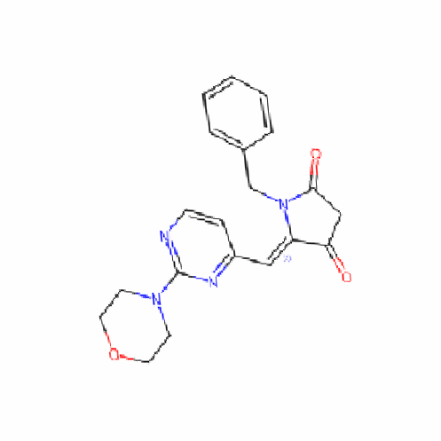 O=C1CC(=O)N(Cc2ccccc2)/C1=C\c1ccnc(N2CCOCC2)n1